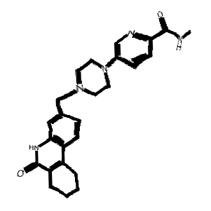 CNC(=O)c1ccc(N2CCN(Cc3ccc4c5c(c(=O)[nH]c4c3)CCCC5)CC2)cn1